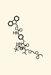 CCC(=O)OCCOCC(NC(=O)C(Cc1ccc(NC(=O)OCC2c3ccccc3-c3ccccc32)cc1)NC(=O)OC(C)(C)C)C(C)C